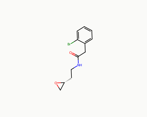 O=C(Cc1ccccc1Br)NCC[C@@H]1CO1